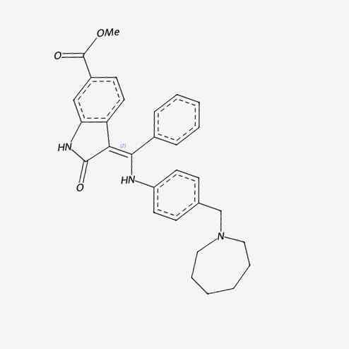 COC(=O)c1ccc2c(c1)NC(=O)/C2=C(\Nc1ccc(CN2CCCCCC2)cc1)c1ccccc1